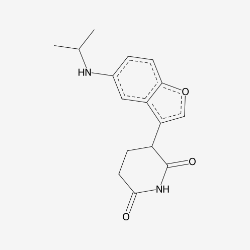 CC(C)Nc1ccc2occ(C3CCC(=O)NC3=O)c2c1